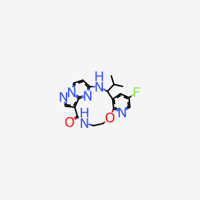 CC(C)C1Nc2ccn3ncc(c3n2)C(=O)NCCOc2ncc(F)cc21